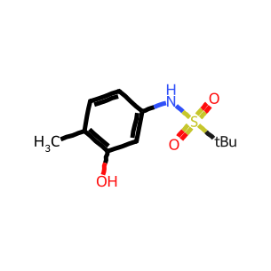 Cc1ccc(NS(=O)(=O)C(C)(C)C)cc1O